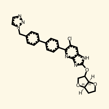 Clc1cc2[nH]c(OC3CO[C@@H]4CCO[C@H]34)nc2nc1-c1ccc(-c2ccc(Cn3ccnn3)cc2)cc1